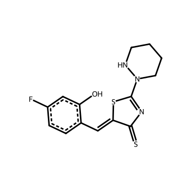 Oc1cc(F)ccc1C=C1SC(N2CCCCN2)=NC1=S